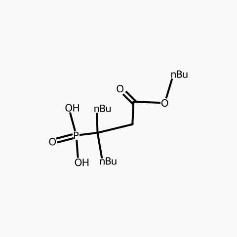 CCCCOC(=O)CC(CCCC)(CCCC)P(=O)(O)O